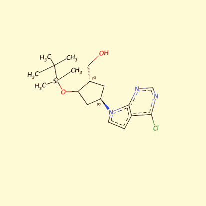 CC(C)(C)[Si](C)(C)OC1C[C@H](n2ccc3c(Cl)ncnc32)C[C@H]1CO